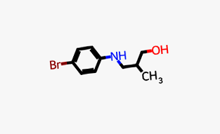 CC(CO)CNc1ccc(Br)cc1